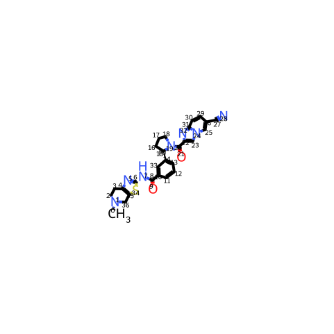 CN1CCc2nc(NC(=O)c3cccc([C@H]4CCCN4C(=O)c4cn5cc(C#N)ccc5n4)c3)sc2C1